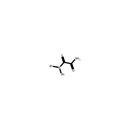 CC(C)N(C(=S)C(N)=O)C(C)C